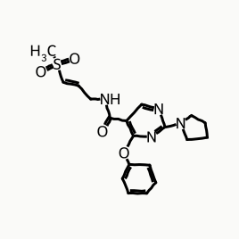 CS(=O)(=O)/C=C/CNC(=O)c1cnc(N2CCCC2)nc1Oc1ccccc1